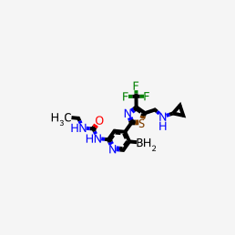 Bc1cnc(NC(=O)NCC)cc1-c1nc(C(F)(F)F)c(CNC2CC2)s1